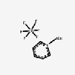 CCCC[n+]1ccccc1.[F][Sb-]([F])([F])([F])([F])[F]